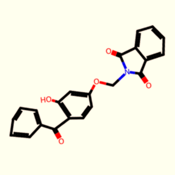 O=C(c1ccccc1)c1ccc(OCN2C(=O)c3ccccc3C2=O)cc1O